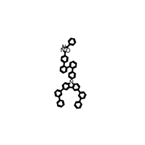 c1ccc(-c2cccc(-c3ccc4c(c3)c3cc(-c5cccc(-c6ccccc6)c5)ccc3n4-c3ccc(-c4ccccc4-c4ccccc4-c4ccc(-c5nnc(-c6ccccc6)o5)cc4)cc3)c2)cc1